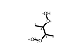 CC(OO)C(C)OO